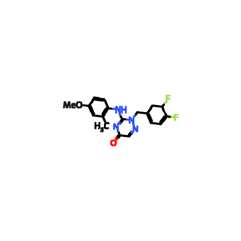 COc1ccc(Nc2nc(=O)cnn2CC2=CC=C(F)C(F)C2)c(C)c1